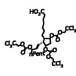 CCCCCC(C=C[C@H]1C(OC(=O)OCC(Cl)(Cl)Cl)CC(OC(=O)OCC(Cl)(Cl)Cl)[C@@H]1CCCCCCC(=O)O)OC(=O)OCC(Cl)(Cl)Cl